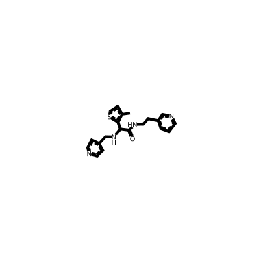 Cc1ccsc1C(NCc1ccncc1)C(=O)NCCc1cccnc1